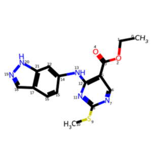 CCOC(=O)c1cnc(SC)nc1Nc1ccc2cn[nH]c2c1